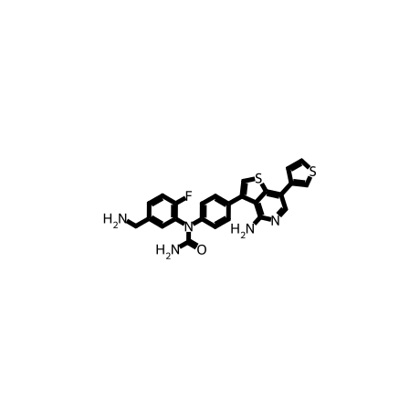 NCc1ccc(F)c(N(C(N)=O)c2ccc(-c3csc4c(-c5ccsc5)cnc(N)c34)cc2)c1